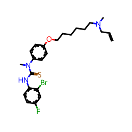 C=CCN(C)CCCCCCOc1ccc(N(C)C(=S)Nc2ccc(F)cc2Br)cc1